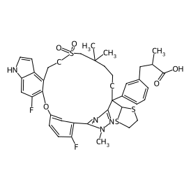 CC(Cc1cccc(C2(C3SCCS3)CCCC(C)(C)CS(=O)(=O)CCc3c(c(F)cc4[nH]ccc34)Oc3ccc(F)c(c3)-c3nc2nn3C)c1)C(=O)O